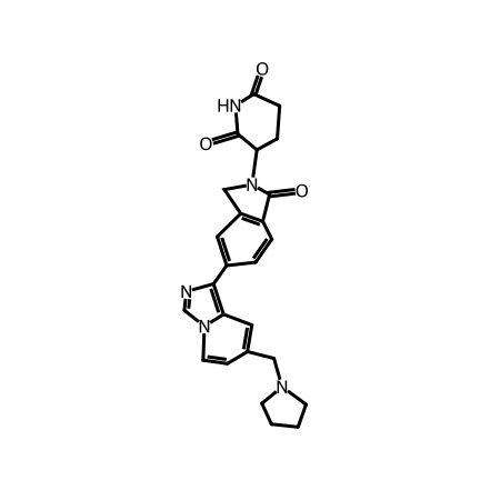 O=C1CCC(N2Cc3cc(-c4ncn5ccc(CN6CCCC6)cc45)ccc3C2=O)C(=O)N1